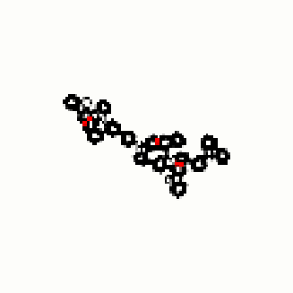 c1cc(-c2ccc(N(c3cc(-c4cccc5c4c4ccccc4n5-c4ccc(-c5ccc(N(c6ccccc6-c6cccc7c6oc6ccccc67)c6cccc7ccccc67)cc5)cc4)ccc3-c3cccc4c3oc3ccccc34)c3cccc4ccccc34)cc2)cc(-n2c3ccccc3c3ccccc32)c1